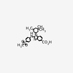 C[C@@H]1C[C@H](n2c(Nc3ccc(S(C)(=O)=O)cc3)nc3cc(C(=O)O)ccc32)CC(C)(C)C1